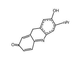 CCCc1cc2c(cc1O)CC1=CC(=O)C=CC1=N2